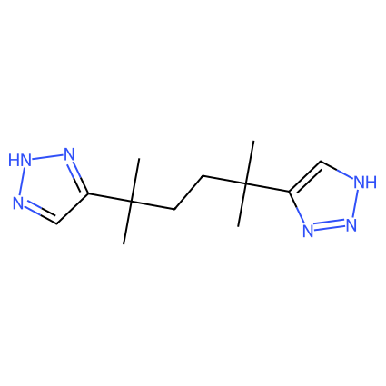 CC(C)(CCC(C)(C)c1cn[nH]n1)c1c[nH]nn1